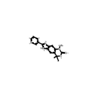 CCCN1C(=O)OC(C)(C)c2cc3[nH]c(-c4cccnc4)nc3cc21